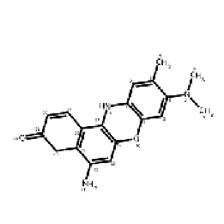 Cc1cc2c(cc1N(C)C)Oc1cc(N)c3c(c1N2)C=CC(=O)C3